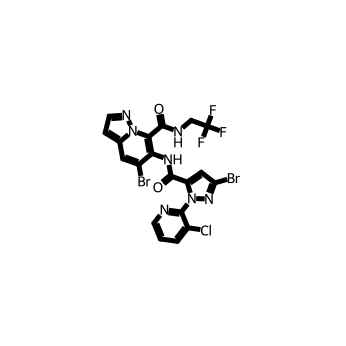 O=C(Nc1c(Br)cc2ccnn2c1C(=O)NCC(F)(F)F)c1cc(Br)nn1-c1ncccc1Cl